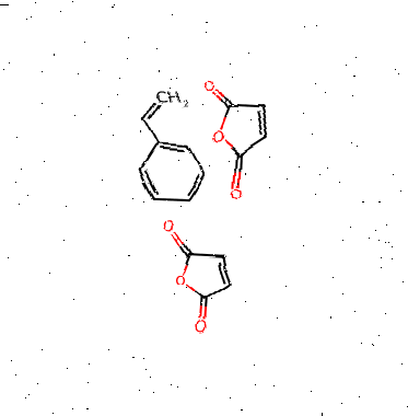 C=Cc1ccccc1.O=C1C=CC(=O)O1.O=C1C=CC(=O)O1